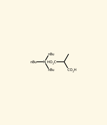 CC(C(=O)O)C(=O)O.CCCCN(CCCC)CCCC